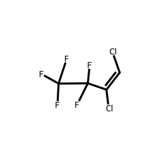 FC(F)(F)C(F)(F)/C(Cl)=C\Cl